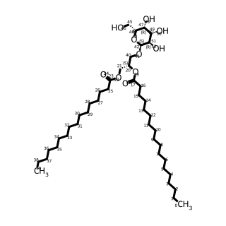 CCCCCCCCCCCCCCCCCC(=O)O[C@H](COC(=O)CCCCCCCCCCCCCCC)CO[C@H]1O[C@H](CO)[C@H](O)[C@H](O)[C@H]1O